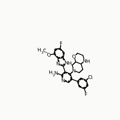 COc1cc(F)cc2[nH]c(-c3c(N)ncc(-c4cc(F)cc(Cl)c4)c3N3CCC4NCCOC4C3)nc12